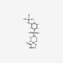 O=C1NCCC12CCN(S(=O)(=O)c1cccc(OC(F)(F)F)c1)CC2